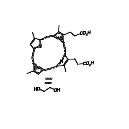 C=C.C=C.CC1=Cc2cc3[nH]c(cc4nc(cc5[nH]c(cc1n2)c(C)c5CCC(=O)O)C(CCC(=O)O)=C4C)cc3C.OCCO